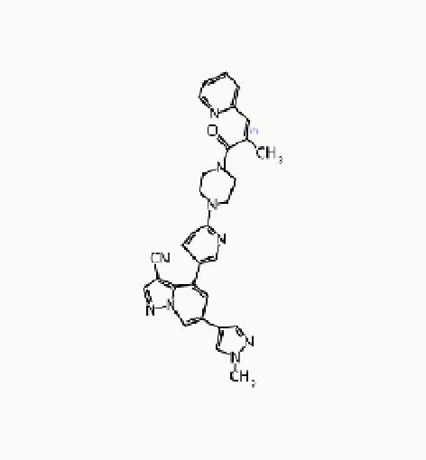 C/C(=C/c1ccccn1)C(=O)N1CCN(c2ccc(-c3cc(-c4cnn(C)c4)cn4ncc(C#N)c34)cn2)CC1